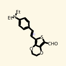 CCN(CC)c1ccc(/C=C/c2sc(C=O)c3c2OCCO3)cc1